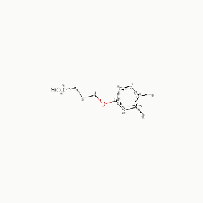 CCOC(=O)CCCOc1ccc(C)c(C)c1